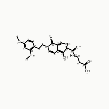 COc1ccc(CCn2ccc3c(O)c(C(=O)NCCC(=O)O)ncc3c2=O)c(OC)c1